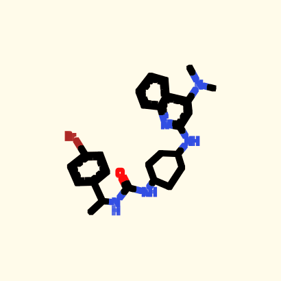 CC(NC(=O)NC1CCC(Nc2cc(N(C)C)c3ccccc3n2)CC1)c1ccc(Br)cc1